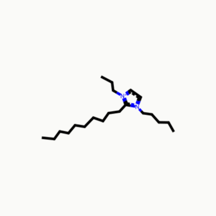 CCCCCCCCCCc1n(CCCCC)cc[n+]1CCC